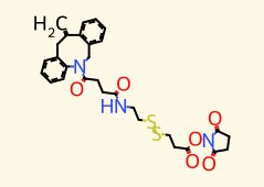 C=C1Cc2ccccc2N(C(=O)CCC(=O)NCCSSCCC(=O)ON2C(=O)CCC2=O)Cc2ccccc21